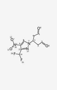 O=CCC(CC=O)n1cc([N+](=O)[O-])c(C(F)F)n1